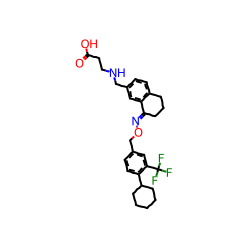 O=C(O)CCNCc1ccc2c(c1)/C(=N/OCc1ccc(C3CCCCC3)c(C(F)(F)F)c1)CCC2